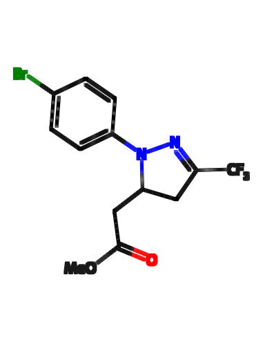 COC(=O)CC1CC(C(F)(F)F)=NN1c1ccc(Br)cc1